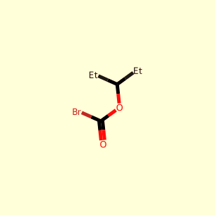 CCC(CC)OC(=O)Br